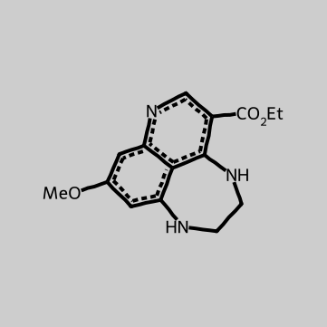 CCOC(=O)c1cnc2cc(OC)cc3c2c1NCCN3